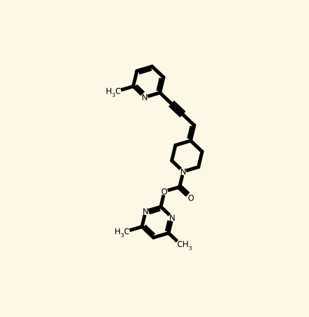 Cc1cccc(C#CC=C2CCN(C(=O)Oc3nc(C)cc(C)n3)CC2)n1